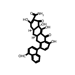 NC(=O)C1=C(O)C[C@@H]2C[C@@H]3Cc4c(-c5ccc(C=O)c6ccccc56)ccc(O)c4C(=O)C3=C(O)[C@]2(O)C1=O